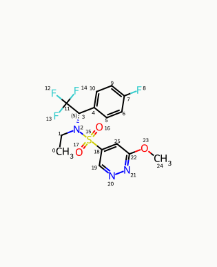 CCN([C@@H](c1ccc(F)cc1)C(F)(F)F)S(=O)(=O)c1cnnc(OC)c1